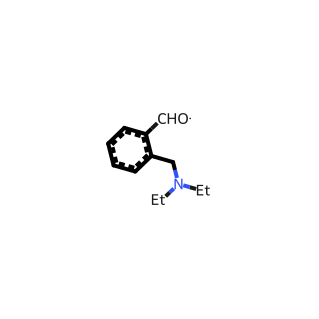 CCN(CC)Cc1ccccc1[C]=O